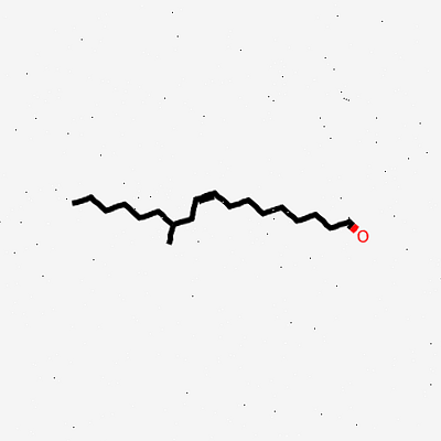 CCCCCCC(C)C/C=C\CCCCCCC[C]=O